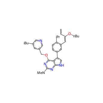 C=C/C(=C\c1cc(-c2c[nH]c3nc(NC)nc(OCc4cncc(C(C)CC)c4)c23)ccc1C(C)C)OCCCC